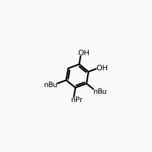 CCCCc1cc(O)c(O)c(CCCC)c1CCC